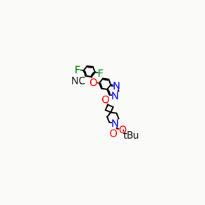 CC(C)(C)OC(=O)N1CCC2(CC1)CC(Oc1ncnc3ccc(Oc4c(F)ccc(F)c4C#N)cc13)C2